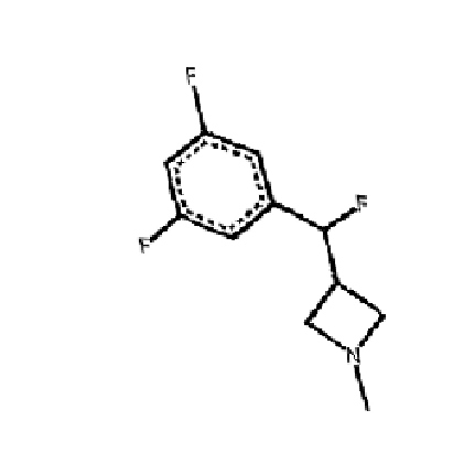 CN1CC(C(F)c2cc(F)cc(F)c2)C1